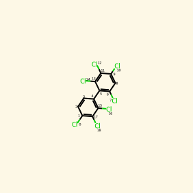 Clc1ccc(-c2c(Cl)cc(Cl)c(Cl)c2Cl)c(Cl)c1Cl